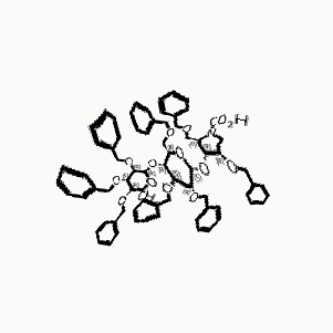 C[C@H]1O[C@H](O[C@H]2[C@H](OCc3ccccc3)[C@@H](OCc3ccccc3)[C@@H](O[C@@H]3[C@@H](COCc4ccccc4)N(C(=O)O)C[C@H]3OCc3ccccc3)O[C@@H]2COCc2ccccc2)[C@H](OCc2ccccc2)[C@@H](OCc2ccccc2)[C@@H]1OCc1ccccc1